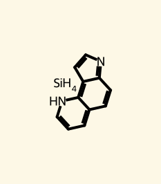 [SiH4].c1c[nH]c2c(c1)ccc1nccc12